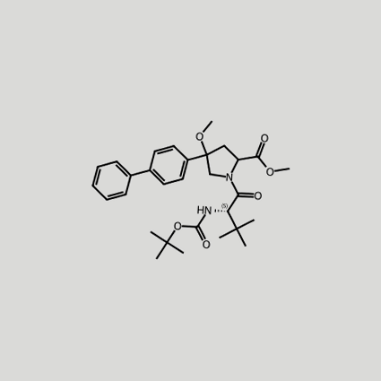 COC(=O)C1CC(OC)(c2ccc(-c3ccccc3)cc2)CN1C(=O)[C@@H](NC(=O)OC(C)(C)C)C(C)(C)C